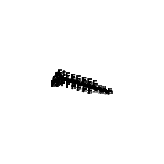 CCO[Si](CC(F)C(F)C(F)C(F)C(F)C(F)C(F)C(F)C(F)C(F)C(F)C(F)CCCCCF)(OCC)OCC